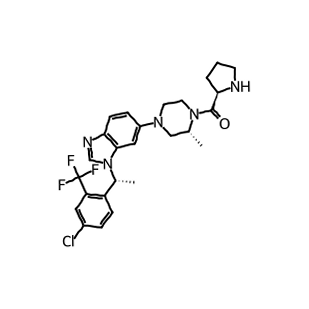 C[C@@H]1CN(c2ccc3ncn([C@H](C)c4ccc(Cl)cc4C(F)(F)F)c3c2)CCN1C(=O)[C@H]1CCCN1